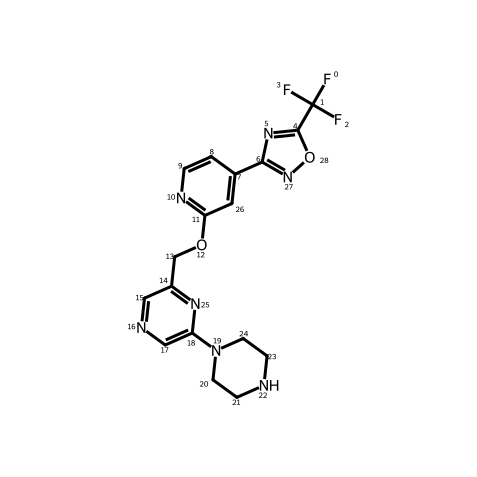 FC(F)(F)c1nc(-c2ccnc(OCc3cncc(N4CCNCC4)n3)c2)no1